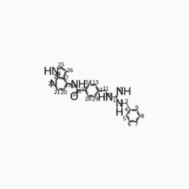 N=C(NCc1ccccc1)NCc1ccc(C(=O)Nc2ccnc3[nH]ccc23)cc1